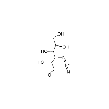 [N-]=[N+]=N[C@@H]([C@H](O)[C@H](O)CO)[C@@H](O)C=O